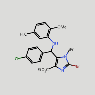 CCOC(=O)c1nc(Br)n(C(C)C)c1C(Nc1cc(C)ccc1OC)c1ccc(Cl)cc1